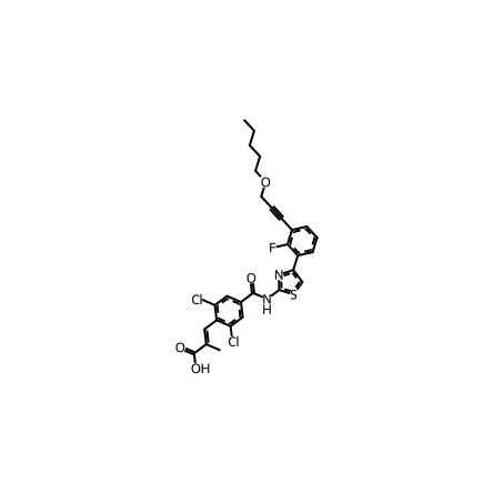 CCCCCOCC#Cc1cccc(-c2csc(NC(=O)c3cc(Cl)c(C=C(C)C(=O)O)c(Cl)c3)n2)c1F